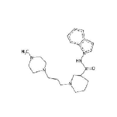 CN1CCN(CCCN2CCCC(C(=O)Nn3ccc4ccccc43)C2)CC1